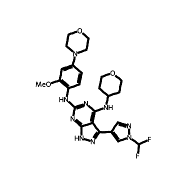 COc1cc(N2CCOCC2)ccc1Nc1nc(NC2CCOCC2)c2c(-c3cnn(C(F)F)c3)n[nH]c2n1